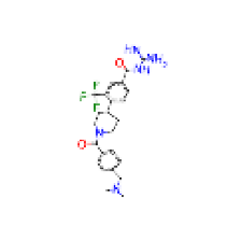 CN(C)Cc1ccc(C(=O)N2CCC(c3ccc(C(=O)NC(=N)N)cc3C(F)(F)F)CC2)cc1